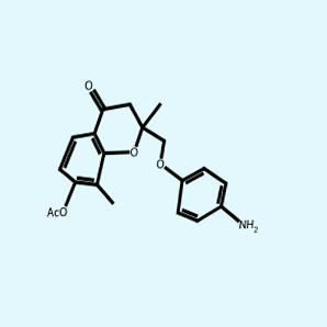 CC(=O)Oc1ccc2c(c1C)OC(C)(COc1ccc(N)cc1)CC2=O